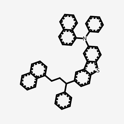 c1ccc(C(CCc2cccc3ccccc23)c2ccc3sc4ccc(N(c5ccccc5)c5cccc6ccccc56)cc4c3c2)cc1